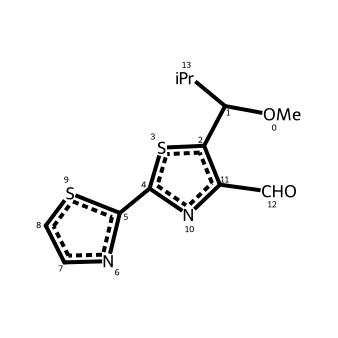 COC(c1sc(-c2nccs2)nc1C=O)C(C)C